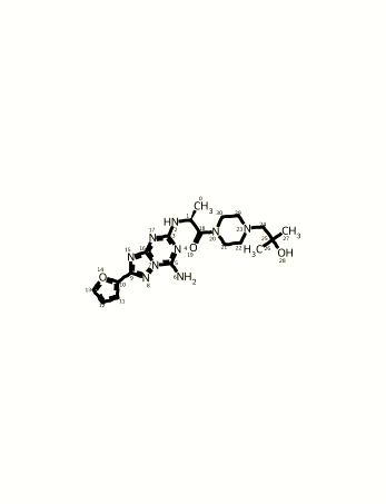 C[C@H](Nc1nc(N)n2nc(-c3ccco3)nc2n1)C(=O)N1CCN(CC(C)(C)O)CC1